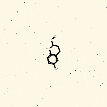 CCOC1CCc2cc([N+](=O)[O-])ccc2O1